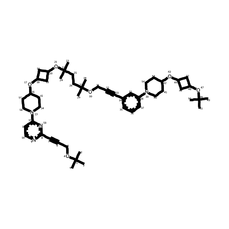 CC(C)(C)OCC#Cc1nccc(N2CCC(OC3CC(OC(C)(C)CCC(C)(C)OCC#Cc4cccc(N5CCC(OC6CC(OC(C)(C)C)C6)CC5)c4)C3)CC2)n1